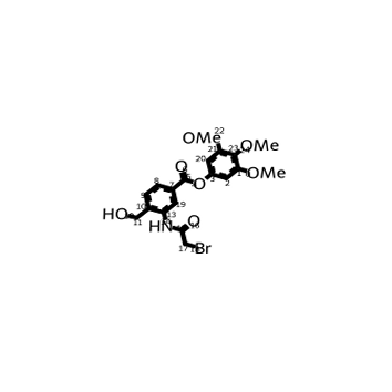 COc1cc(OC(=O)c2ccc(CO)c(NC(=O)CBr)c2)cc(OC)c1OC